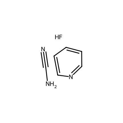 F.N#CN.c1ccncc1